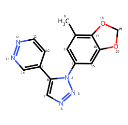 Cc1cc(-n2nncc2-c2ccnnc2)cc2c1OCO2